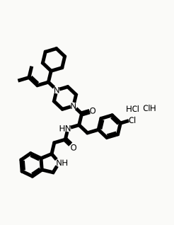 CC(C)=CC(C1CCCCC1)N1CCN(C(=O)C(Cc2ccc(Cl)cc2)NC(=O)CC2NCc3ccccc32)CC1.Cl.Cl